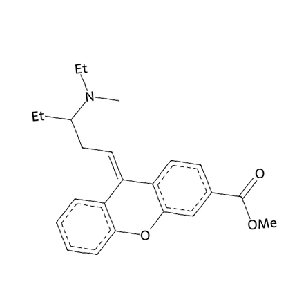 CCC(C/C=C1\c2ccccc2Oc2cc(C(=O)OC)ccc21)N(C)CC